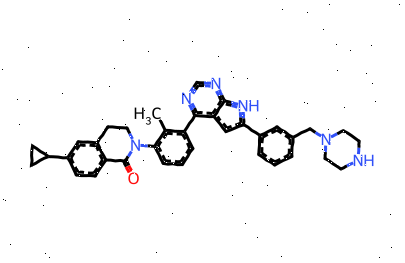 Cc1c(-c2ncnc3[nH]c(-c4cccc(CN5CCNCC5)c4)cc23)cccc1N1CCc2cc(C3CC3)ccc2C1=O